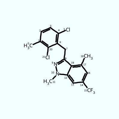 Cc1ccc(Cl)c(Cc2nn(C)c3cc(C(F)(F)F)cc(C)c23)c1Cl